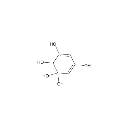 OC1=CC(O)(O)C(O)C(O)=C1